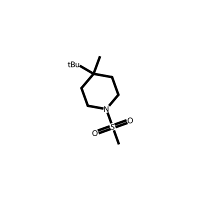 CC(C)(C)C1(C)CCN(S(C)(=O)=O)CC1